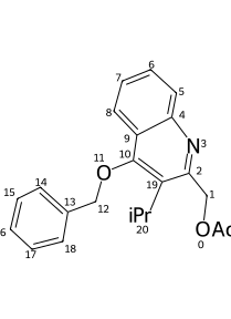 CC(=O)OCc1nc2ccccc2c(OCc2ccccc2)c1C(C)C